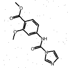 COC(=O)c1ccc(NC(=O)n2ccnc2)cc1OC